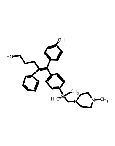 CN1CCN(C[Si](C)(C)c2ccc(C(=C(CCCO)c3ccccc3)c3ccc(O)cc3)cc2)CC1